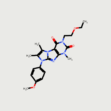 CCOCCn1c(=O)c2c(nc3n(-c4ccc(OC)cc4)c(C)c(C)n23)n(C)c1=O